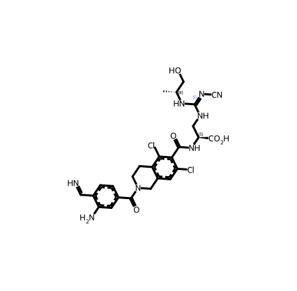 C[C@H](CO)N/C(=N/C#N)NC[C@H](NC(=O)c1c(Cl)cc2c(c1Cl)CCN(C(=O)c1ccc(C=N)c(N)c1)C2)C(=O)O